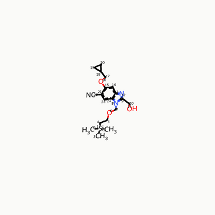 C[Si](C)(C)CCOCn1c(CO)nc2cc(OCC3CC3)c(C#N)cc21